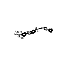 COc1cc(-c2nc3ccc(C(=O)NCCCN4CCN(c5ccccc5)CC4)cc3[nH]2)cc(OC)c1OC